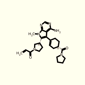 C=CC(=O)N1CC[C@@H](c2c(C3=CC[C@@H](C(=O)N4CCCC4)CC3)c3c(N)ncnc3n2C)C1